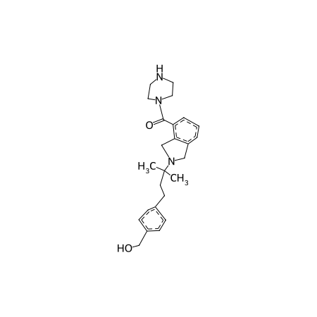 CC(C)(CCc1ccc(CO)cc1)N1Cc2cccc(C(=O)N3CCNCC3)c2C1